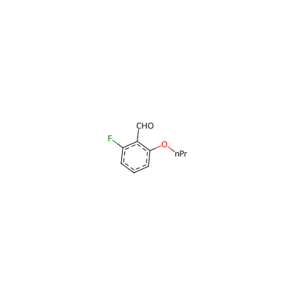 CCCOc1cccc(F)c1C=O